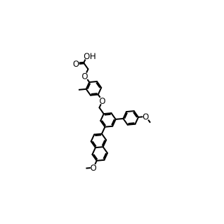 COc1ccc(-c2cc(COc3ccc(OCC(=O)O)c(C)c3)cc(-c3ccc4cc(OC)ccc4c3)c2)cc1